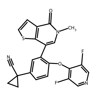 Cn1cc(-c2cc(C3(C#N)CC3)ccc2Oc2c(F)cncc2F)c2sccc2c1=O